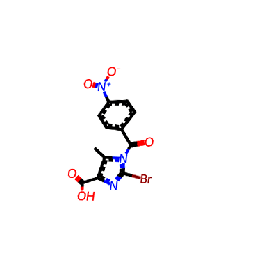 Cc1c(C(=O)O)nc(Br)n1C(=O)c1ccc([N+](=O)[O-])cc1